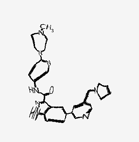 CN1CCN(c2ccc(NC(=O)c3n[nH]c4ccc(-c5cncc(CN6CCCC6)c5)cc34)cn2)CC1